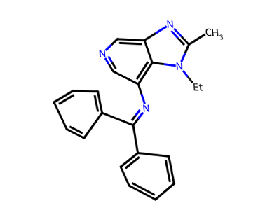 CCn1c(C)nc2cncc(N=C(c3ccccc3)c3ccccc3)c21